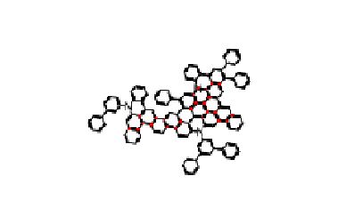 c1ccc(-c2cc(-c3cccc(-c4ccc(N(c5cccc(-c6ccccc6)c5)c5ccccc5-c5ccc(-c6ccccc6)c(-c6ccccc6)c5)cc4-c4ccccc4)c3)cc(-c3ccccc3N(c3cccc(-c4ccccc4)c3)c3cccc(-c4ccc(-c5ccc(N(c6cc(-c7ccccc7)cc(-c7ccccc7)c6)c6cc(-c7ccccc7)cc(-c7ccccc7)c6)c(-c6ccccc6)c5)cc4)c3)c2)cc1